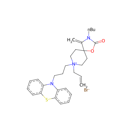 C=CC[N+]1(CCCN2c3ccccc3Sc3ccccc32)CCC2(CC1)OC(=O)N(CCCC)C2=C.[Br-]